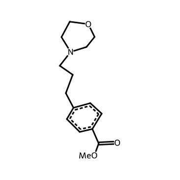 COC(=O)c1ccc(CCCN2CCOCC2)cc1